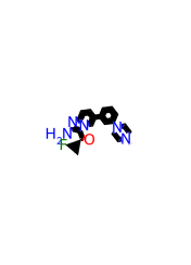 CN1CCN(c2cccc(-c3ccc4nc(N)c(C(=O)[C@@H]5C[C@@H]5F)n4c3)c2)CC1